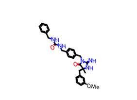 COc1cccc(CC2(C)NC(=N)N(Cc3ccc(CNC(=O)NCc4ccccc4)cc3)C2=O)c1